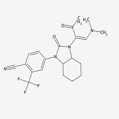 CC(=O)C(=CN(C)C)N1C(=O)N(c2ccc(C#N)c(C(F)(F)F)c2)C2CCCCC21